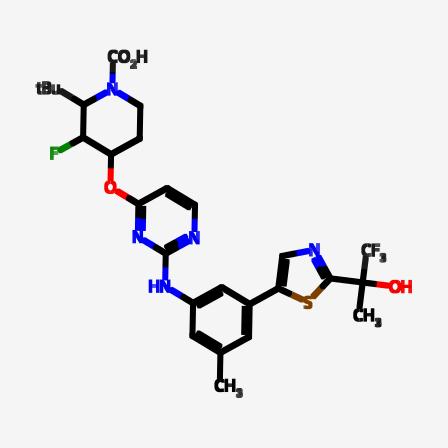 Cc1cc(Nc2nccc(OC3CCN(C(=O)O)C(C(C)(C)C)C3F)n2)cc(-c2cnc(C(C)(O)C(F)(F)F)s2)c1